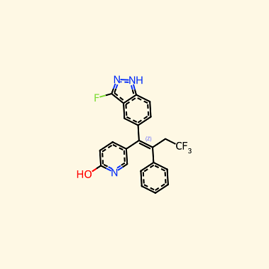 Oc1ccc(/C(=C(/CC(F)(F)F)c2ccccc2)c2ccc3[nH]nc(F)c3c2)cn1